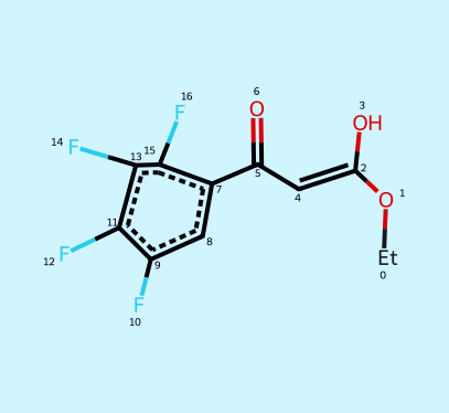 CCO/C(O)=C/C(=O)c1cc(F)c(F)c(F)c1F